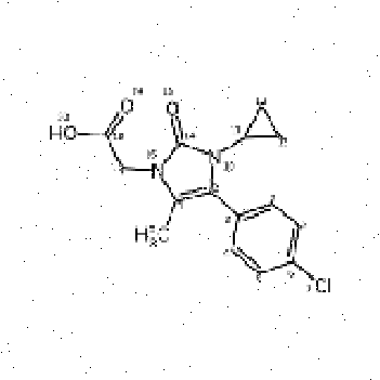 Cc1c(-c2ccc(Cl)cc2)n(C2CC2)c(=O)n1CC(=O)O